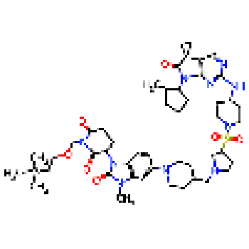 CC1CCCC1N1C(=O)C2(CC2)c2cnc(NC3CCN(S(=O)(=O)C4CCN(CC5CCN(c6ccc7c(c6)n(C)c(=O)n7C6CCC(=O)N(COCC[Si](C)(C)C)C6=O)CC5)C4)CC3)nc21